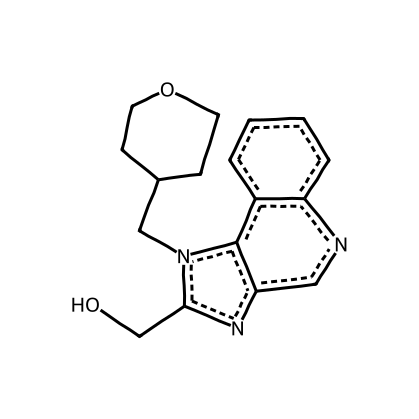 OCc1nc2cnc3ccccc3c2n1CC1CCOCC1